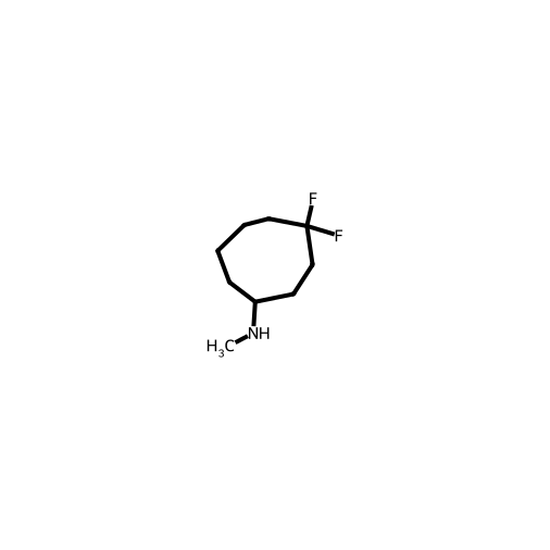 CNC1CCCCC(F)(F)CC1